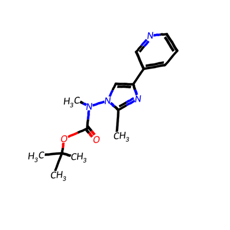 Cc1nc(-c2cccnc2)cn1N(C)C(=O)OC(C)(C)C